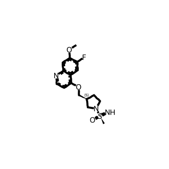 COc1cc2nccc(OC[C@H]3CCN([S@](C)(=N)=O)C3)c2cc1F